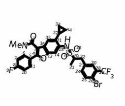 CNC(=O)c1c(-c2ccc(F)cc2)oc2cc(NS(=O)(=O)C(C)Cc3ccc(Br)c(C(F)(F)F)c3)c(C3CC3)cc12